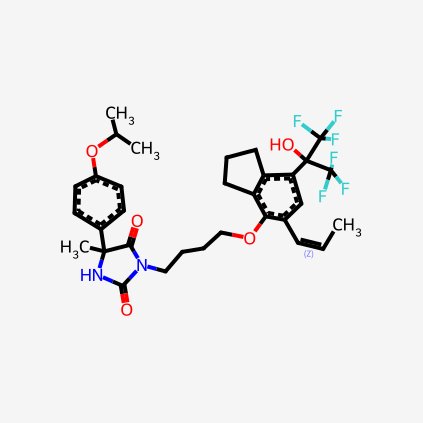 C/C=C\c1cc(C(O)(C(F)(F)F)C(F)(F)F)c2c(c1OCCCCN1C(=O)NC(C)(c3ccc(OC(C)C)cc3)C1=O)CCC2